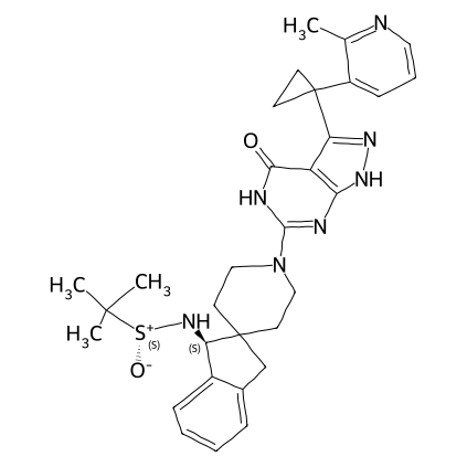 Cc1ncccc1C1(c2n[nH]c3nc(N4CCC5(CC4)Cc4ccccc4[C@H]5N[S@+]([O-])C(C)(C)C)[nH]c(=O)c23)CC1